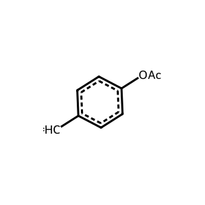 [CH]c1ccc(OC(C)=O)cc1